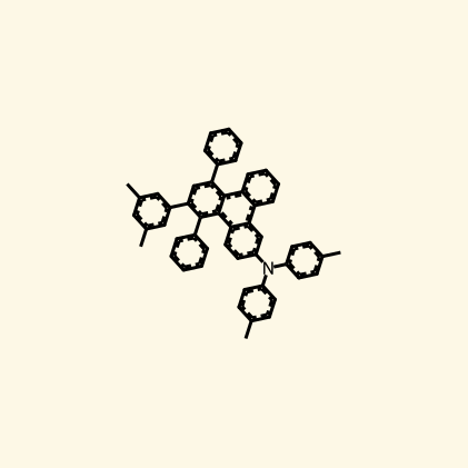 Cc1ccc(N(c2ccc(C)cc2)c2ccc3c(c2)c2ccccc2c2c(-c4ccccc4)cc(-c4cc(C)cc(C)c4)c(-c4ccccc4)c32)cc1